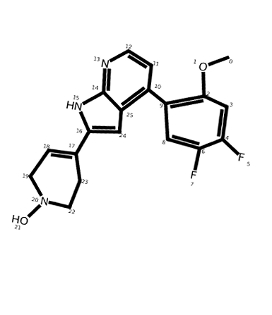 COc1cc(F)c(F)cc1-c1ccnc2[nH]c(C3=CCN(O)CC3)cc12